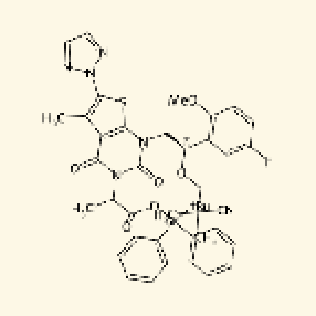 COc1ccc(F)cc1[C@H](Cn1c(=O)n(C(C)C(=O)O[Si](c2ccccc2)(c2ccccc2)C(C)(C)C)c(=O)c2c(C)c(-n3nccn3)sc21)OCC(C)(C)C#N